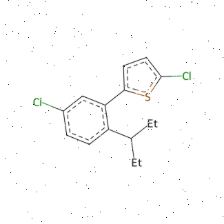 CCC(CC)c1ccc(Cl)cc1-c1ccc(Cl)s1